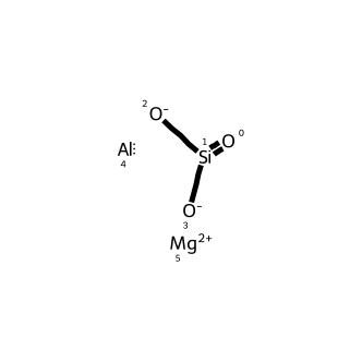 O=[Si]([O-])[O-].[Al].[Mg+2]